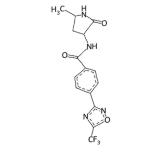 CC1CC(NC(=O)c2ccc(-c3noc(C(F)(F)F)n3)cc2)C(=O)N1